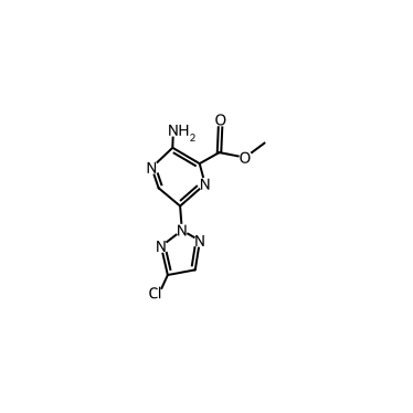 COC(=O)c1nc(-n2ncc(Cl)n2)cnc1N